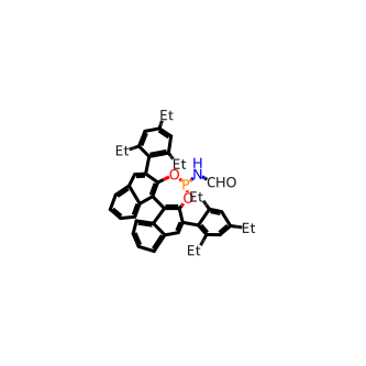 CCc1cc(CC)c(-c2cc3ccccc3c3c2op(NC=O)oc2c(-c4c(CC)cc(CC)cc4CC)cc4ccccc4c23)c(CC)c1